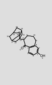 O=C1c2ccc(O)cc2CCCC1C12CC3CC(CC(C3)C1)C2